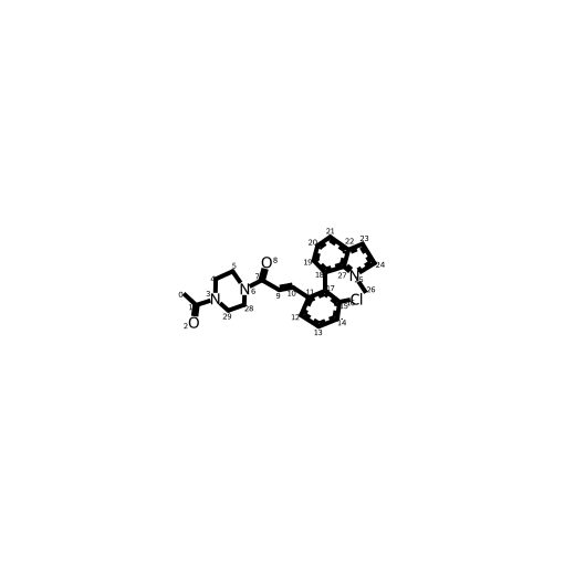 CC(=O)N1CCN(C(=O)/C=C/c2cc[c]c(Cl)c2-c2cccc3ccn(C)c23)CC1